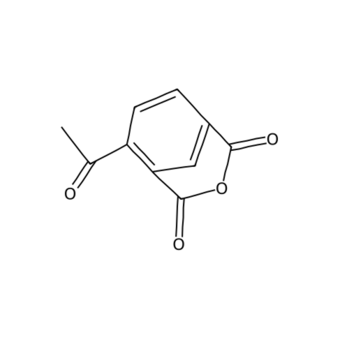 CC(=O)c1ccc2cc1C(=O)OC2=O